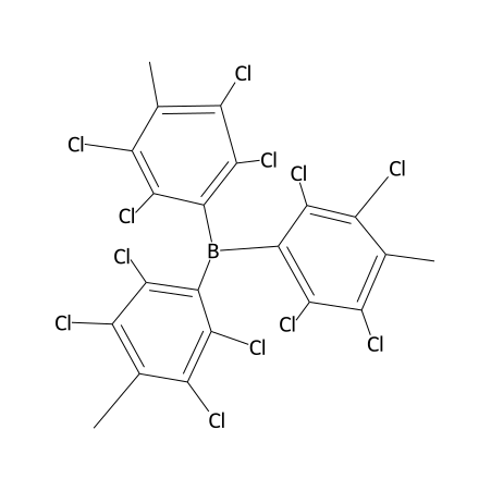 Cc1c(Cl)c(Cl)c(B(c2c(Cl)c(Cl)c(C)c(Cl)c2Cl)c2c(Cl)c(Cl)c(C)c(Cl)c2Cl)c(Cl)c1Cl